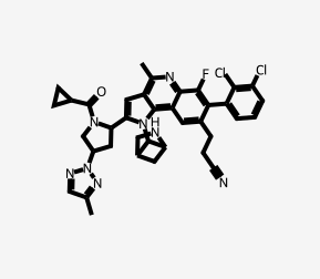 Cc1cnn(C2CC(c3cc4c(C)nc5c(F)c(-c6cccc(Cl)c6Cl)c(CCC#N)cc5c4n3C3C4CNC3C4)N(C(=O)C3CC3)C2)n1